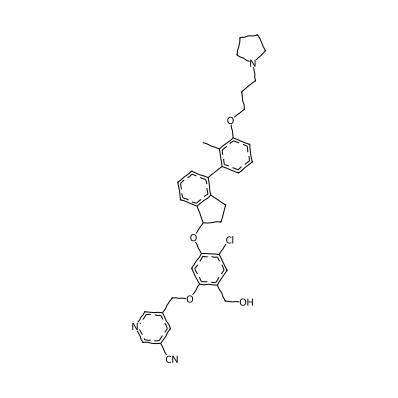 Cc1c(OCCCN2CCCC2)cccc1-c1cccc2c1CCC2Oc1cc(OCc2cncc(C#N)c2)c(CO)cc1Cl